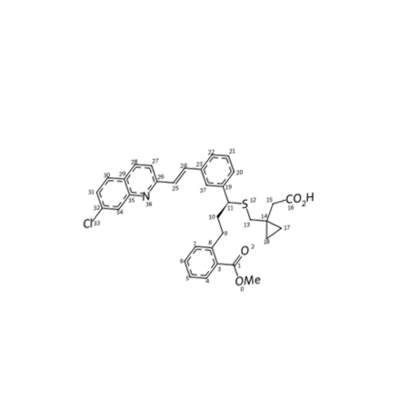 COC(=O)c1ccccc1CC[C@H](SCC1(CC(=O)O)CC1)c1cccc(/C=C/c2ccc3ccc(Cl)cc3n2)c1